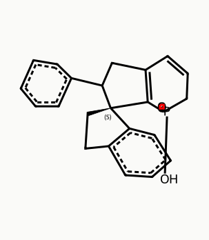 OP1OC2(CC=CC3=C2[C@@]2(CCc4ccccc42)C(c2ccccc2)C3)O1